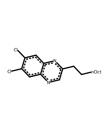 CCCCCCCCCCc1cnc2cc(Cl)c(Cl)cc2n1